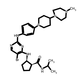 CC(C)NC(=O)[C@H]1CCC[C@H]1Nc1nc(Nc2ccc(N3CCC(N4CCN(C)CC4)CC3)cc2)ncc1Br